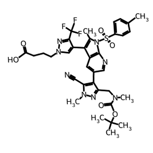 Cc1ccc(S(=O)(=O)n2c(C)c(-c3cn(CCCC(=O)O)nc3C(F)(F)F)c3cc(-c4c(CN(C)C(=O)OC(C)(C)C)nn(C)c4C#N)cnc32)cc1